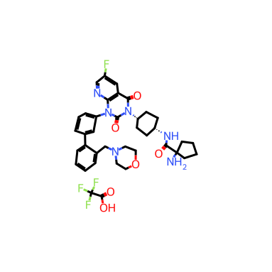 NC1(C(=O)N[C@H]2CC[C@@H](n3c(=O)c4cc(F)cnc4n(-c4cccc(-c5ccccc5CN5CCOCC5)c4)c3=O)CC2)CCCC1.O=C(O)C(F)(F)F